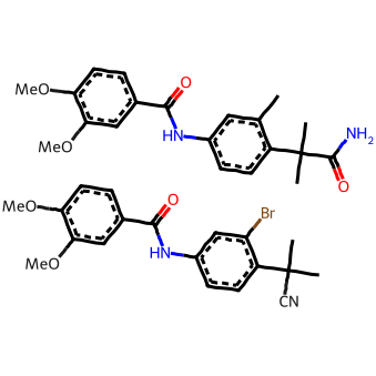 COc1ccc(C(=O)Nc2ccc(C(C)(C)C#N)c(Br)c2)cc1OC.COc1ccc(C(=O)Nc2ccc(C(C)(C)C(N)=O)c(C)c2)cc1OC